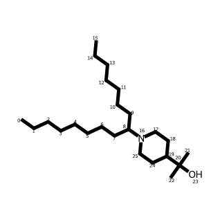 CCCCCCCCC(CCCCCCC)N1CCC(C(C)(C)O)CC1